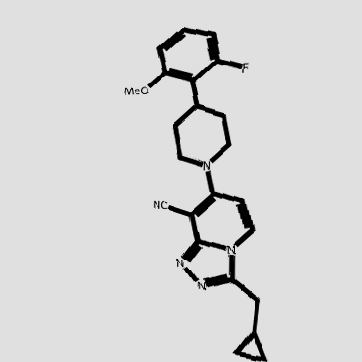 COc1cccc(F)c1C1CCN(c2ccn3c(CC4CC4)nnc3c2C#N)CC1